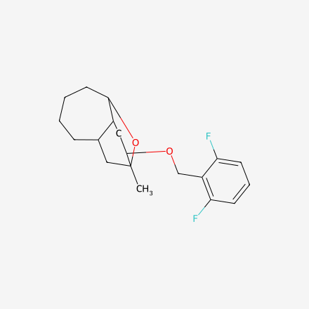 CC12CC3CCCCC(O1)C3CC2OCc1c(F)cccc1F